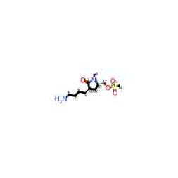 CN1C(=O)[C@H](CCCCN)C[C@H]1COS(C)(=O)=O